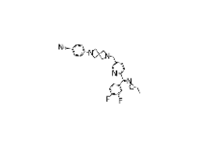 CCON=C(c1ccc(F)c(F)c1)c1ccc(CN2CC3(C2)CN(c2ccc(C#N)cc2)C3)cn1